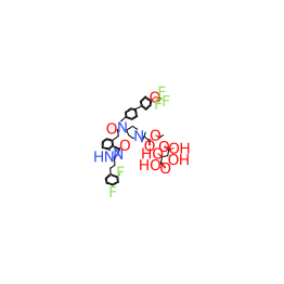 CCOC(=O)C(C)(C)N1CCC(N(Cc2ccc(-c3ccc(OC(F)(F)F)cc3)cc2)C(=O)Cc2cccc3[nH]c(CCc4ccc(F)cc4F)nc(=O)c23)CC1.O=C(O)C(O)C(O)C(=O)O